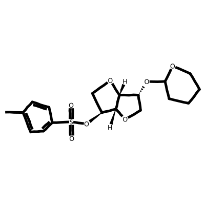 Cc1ccc(S(=O)(=O)O[C@H]2CO[C@H]3[C@@H]2OC[C@H]3OC2CCCCO2)cc1